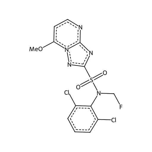 COc1ccnc2nc(S(=O)(=O)N(CF)c3c(Cl)cccc3Cl)nn12